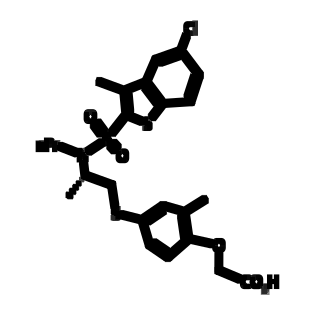 CCCN([C@@H](C)CSc1ccc(OCC(=O)O)c(C)c1)S(=O)(=O)c1sc2ccc(Cl)cc2c1C